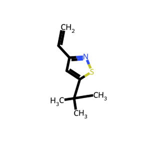 C=Cc1cc(C(C)(C)C)sn1